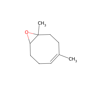 C/C1=C/CCC2OC2(C)CC1